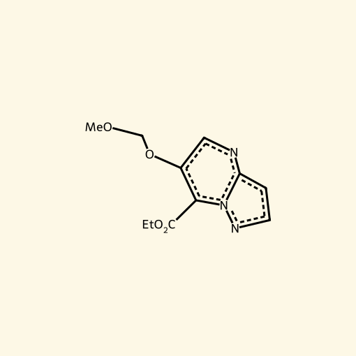 CCOC(=O)c1c(OCOC)cnc2ccnn12